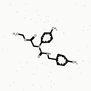 CCOC(=O)CN(C(=O)NCc1ccc(C)cc1)c1ccc(C)cc1